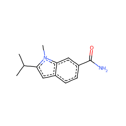 CC(C)c1cc2ccc(C(N)=O)cc2n1C